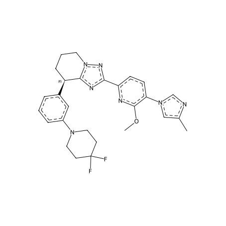 COc1nc(-c2nc3n(n2)CCC[C@@H]3c2cccc(N3CCC(F)(F)CC3)c2)ccc1-n1cnc(C)c1